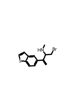 C=C(c1ccc2sccc2c1)C(CBr)NC